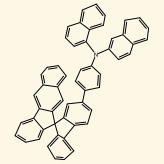 c1ccc2c(c1)-c1ccc(-c3ccc(N(c4ccc5ccccc5c4)c4cccc5ccccc45)cc3)cc1C21c2ccccc2-c2cc3ccccc3cc21